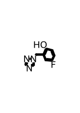 Oc1ccc(F)cc1Cn1cncn1